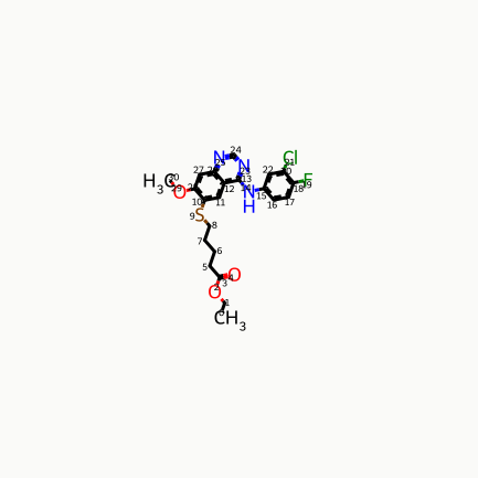 CCOC(=O)CCCCSc1cc2c(Nc3ccc(F)c(Cl)c3)ncnc2cc1OC